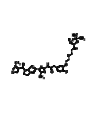 Cc1sc(NC(=O)Cc2ccc(F)c(OCCOCCNC(=O)OC(C)(C)C)c2)nc1-c1ccc2c(c1)CCN2C(=O)c1cncn1C